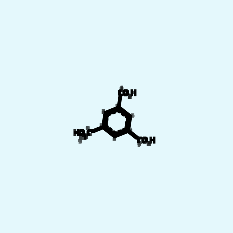 O=C(O)c1cc(C(=O)O)cc(C(=O)O)c1.[Th]